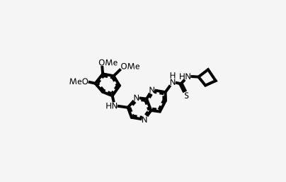 COc1cc(Nc2cnc3ccc(NC(=S)NC4CCC4)nc3n2)cc(OC)c1OC